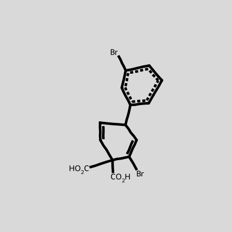 O=C(O)C1(C(=O)O)C=CC(c2cccc(Br)c2)C=C1Br